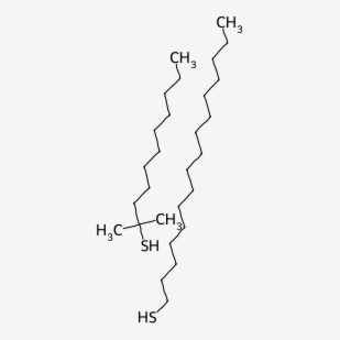 CCCCCCCCCC(C)(C)S.CCCCCCCCCCCCCCCCS